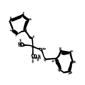 O=C(O)C(O)(Cc1ccccc1)OCc1ccccc1